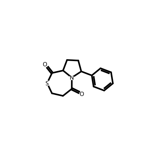 O=C1SCCC(=O)N2C1CCC2c1ccccc1